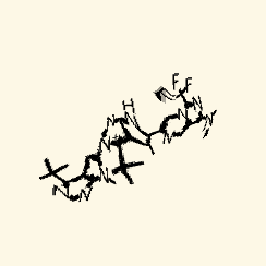 Cc1c(-c2cn3c(C(F)(F)F)nc(N(C)C)c3cn2)[nH]c2nc[n+](-c3cc4c(C(C)(C)C)ncnc4n3C)c(C(C)(C)C)c12